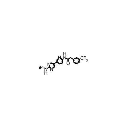 CC(C)Nc1ncc(-c2ccc(NC(=O)Cc3cccc(C(F)(F)F)c3)nc2)cn1